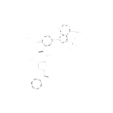 COc1ncc(-c2cc(C(F)(F)F)c3c(N)ncnn23)cc1C(=O)N[C@@H]1CN(C(=O)c2ccccc2)C[C@@H]1C